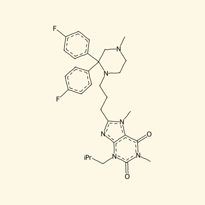 CC(C)Cn1c(=O)n(C)c(=O)c2c1nc(CCCN1CCN(C)CC1(c1ccc(F)cc1)c1ccc(F)cc1)n2C